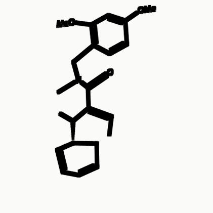 C/C=C(/C(=O)N(C)Cc1ccc(OC)cc1OC)C(C)[C@H]1C=CC=CC1